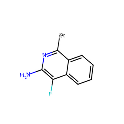 CC(C)c1nc(N)c(F)c2ccccc12